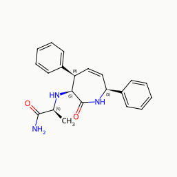 C[C@H](N[C@@H]1C(=O)N[C@H](c2ccccc2)C=C[C@@H]1c1ccccc1)C(N)=O